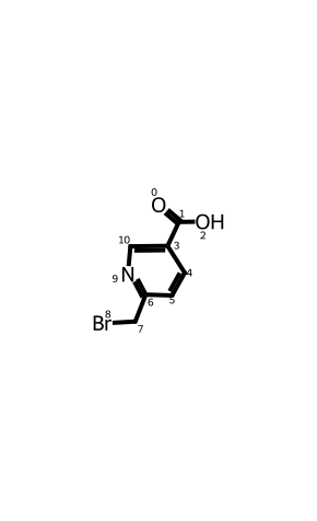 O=C(O)c1ccc(CBr)nc1